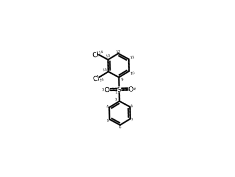 O=S(=O)(c1ccccc1)c1cccc(Cl)c1Cl